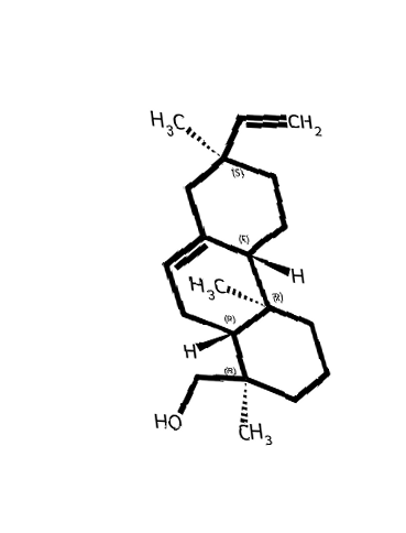 C=C[C@@]1(C)CC[C@H]2C(=CC[C@H]3[C@](C)(CO)CCC[C@]23C)C1